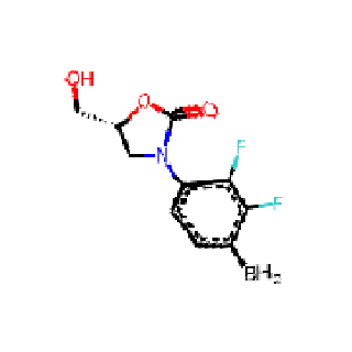 Bc1ccc(N2C[C@H](CO)OC2=O)c(F)c1F